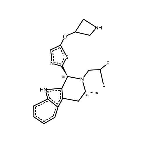 C[C@@H]1Cc2c([nH]c3ccccc23)[C@@H](c2ncc(OC3CNC3)s2)N1CC(F)F